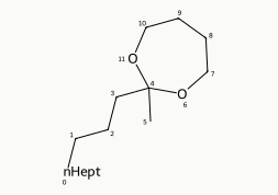 CCCCCCCCCCC1(C)OCCCCO1